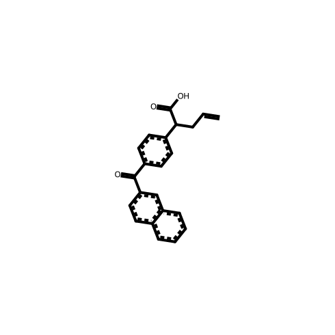 C=CCC(C(=O)O)c1ccc(C(=O)c2ccc3ccccc3c2)cc1